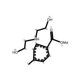 COC(=O)c1ccc(C)cc1.OCCNCCO